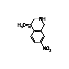 C[C@H]1CNCc2cc([N+](=O)[O-])ccc21